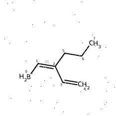 B/C=C(\C=C)CCC